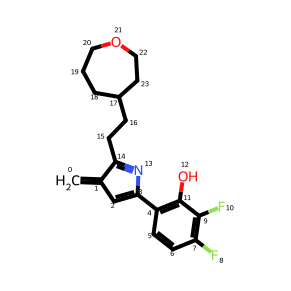 C=C1C=C(c2ccc(F)c(F)c2O)N=C1CCC1CCCOCC1